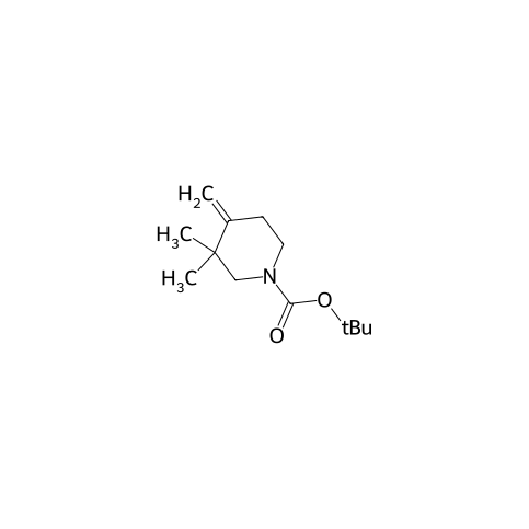 C=C1CCN(C(=O)OC(C)(C)C)CC1(C)C